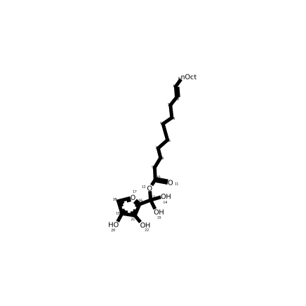 CCCCCCCCC=CCCCCCCCC(=O)OC(O)(O)c1occ(O)c1O